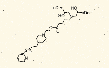 CCCCCCCCCCC(O)CN(CCCCC(=O)OCCN1CCN(CCSSc2ccccn2)CC1)CC(O)CCCCCCCCCC